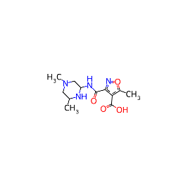 Cc1onc(C(=O)NC2CN(C)CC(C)N2)c1C(=O)O